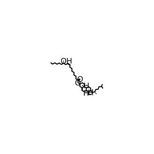 CCCCCC[C@@H](O)C/C=C\CCCCCCCC(=O)OC1CC[C@@]2(C)C(=CC[C@H]3[C@@H]4CC[C@H]([C@H](C)CCCC(C)C)[C@@]4(C)CC[C@@H]32)C1